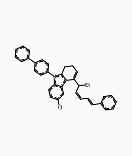 CCC(/C=C\C=C\c1ccccc1)C1=CCCc2c1c1cc(Cl)ccc1n2-c1ccc(-c2ccccc2)cc1